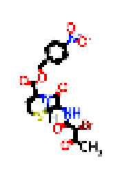 CC(=O)C(Br)C(=O)NC1C(=O)N2C(C(=O)OCc3ccc([N+](=O)[O-])cc3)=CCS[C@@H]12